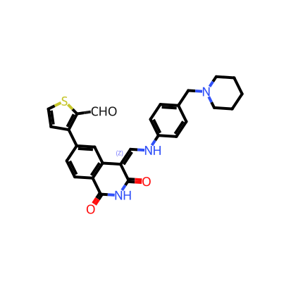 O=Cc1sccc1-c1ccc2c(c1)/C(=C/Nc1ccc(CN3CCCCC3)cc1)C(=O)NC2=O